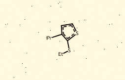 CCSc1sccc1C(C)C